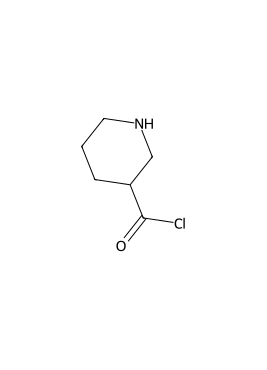 O=C(Cl)C1CCCNC1